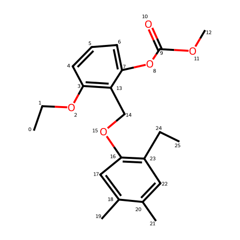 CCOc1cccc(OC(=O)OC)c1COc1cc(C)c(C)cc1CC